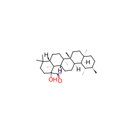 C[C@@H]1[C@H]2[C@H]3CC[C@@H]4[C@]5(C)[C@@H](CC[C@@]4(C)[C@]3(C)CC[C@@]2(C)CC[C@H]1C)C(C)(C)CCC5(O)C(=O)I